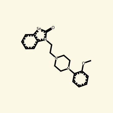 COc1ccccc1N1CCN(CCn2c(=O)[se]c3ccccc32)CC1